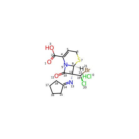 Cl.O=C(O)C1=CCS[C@@H]2N1C(=O)[C@]2(N=C1CCCC1)[C@H](Cl)Br